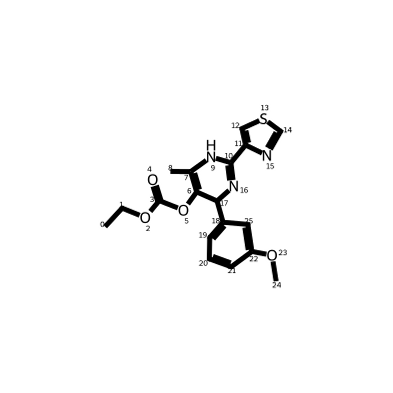 CCOC(=O)OC1=C(C)NC(c2cscn2)=NC1c1cccc(OC)c1